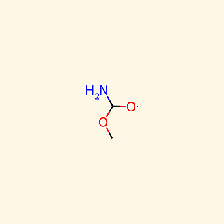 COC(N)[O]